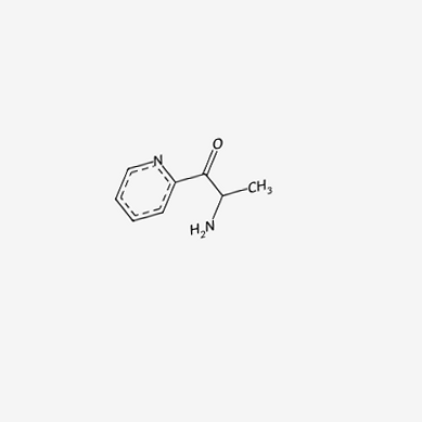 CC(N)C(=O)c1ccccn1